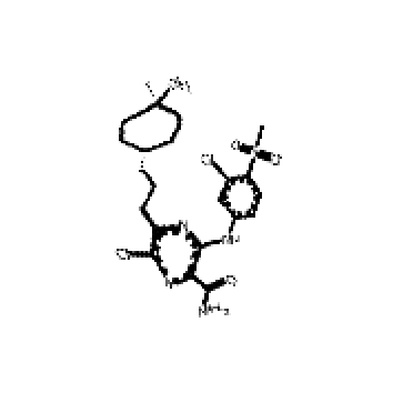 CS(=O)(=O)c1ccc(Nc2nc(CCC[C@H]3CC[C@](C)(O)CC3)c(Cl)nc2C(N)=O)cc1Cl